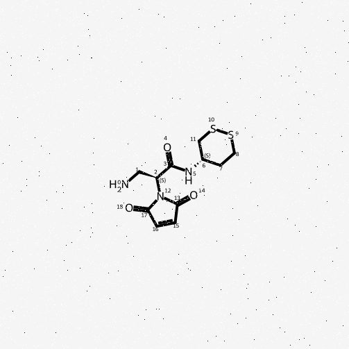 NC[C@@H](C(=O)N[C@H]1CCSSC1)N1C(=O)C=CC1=O